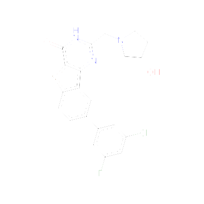 O=c1[nH]c(CN2CC[C@H](O)C2)nc2c1sc1ccc(-c3cc(F)cc(Cl)c3)cc12